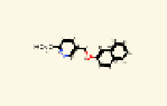 O=C(O)c1ccc(COc2ccc3ccccc3c2)cn1